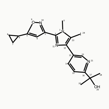 Cn1c(-c2cc(C3CC3)on2)nc(-c2ccc(C(C)(C)O)nc2)c1I